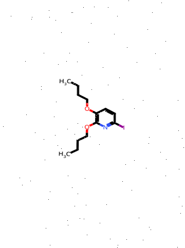 CCCCOc1ccc(I)nc1OCCCC